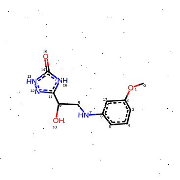 COc1cccc(NCC(O)c2n[nH]c(=O)[nH]2)c1